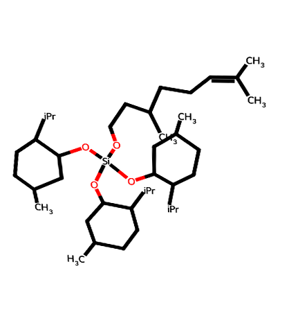 CC(C)=CCCC(C)CCO[Si](OC1CC(C)CCC1C(C)C)(OC1CC(C)CCC1C(C)C)OC1CC(C)CCC1C(C)C